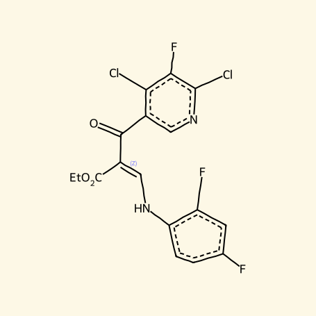 CCOC(=O)/C(=C\Nc1ccc(F)cc1F)C(=O)c1cnc(Cl)c(F)c1Cl